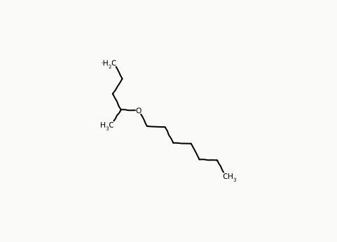 [CH2]CCC(C)OCCCCCCC